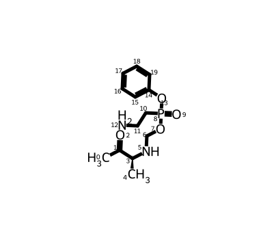 CC(=O)[C@H](C)NCOP(=O)(CCN)Oc1ccccc1